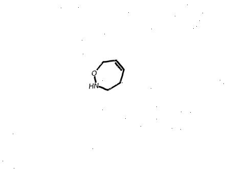 [CH]1C=CCONC1